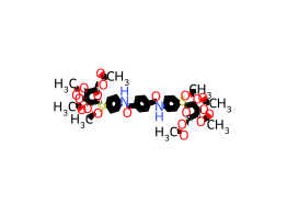 CC(=O)OC[C@H]1O[C@@H](Sc2ccc(NC(=O)c3ccc(C(=O)Nc4ccc(S[C@@H]5O[C@H](COC(C)=O)[C@@H](OC(C)=O)[C@H](OC(C)=O)[C@H]5OC(C)=O)cc4)cc3)cc2)[C@H](OC(C)=O)[C@@H](OC(C)=O)[C@@H]1OC(C)=O